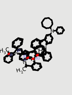 C=C(/N=C(/C=C/C=C\C=C/C)\N=C(/C)c1ccccc1-n1c2ccccc2c2cc(N(c3ccccc3)C3CCCCCCC3)ccc21)c1ccccc1-n1c2ccccc2c2cc(N(c3ccccc3)c3ccccc3)ccc21